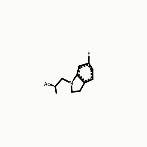 CC(=O)[C@H](C)CN1CCc2ccc(F)cc21